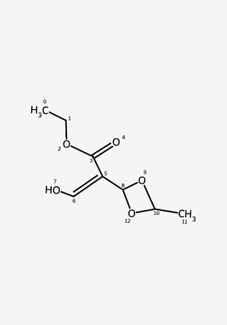 CCOC(=O)/C(=C\O)C1OC(C)O1